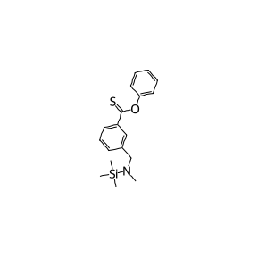 CN(Cc1cccc(C(=S)Oc2ccccc2)c1)[Si](C)(C)C